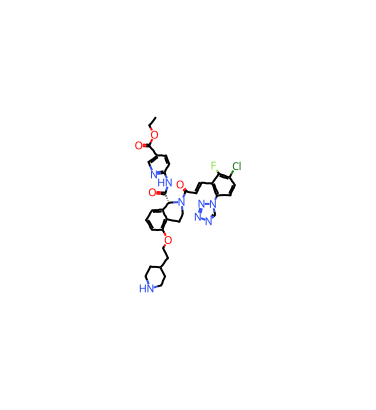 CCOC(=O)c1ccc(NC(=O)[C@H]2c3cccc(OCCC4CCNCC4)c3CCN2C(=O)/C=C/c2c(-n3cnnn3)ccc(Cl)c2F)nc1